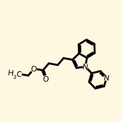 CCOC(=O)CCCc1cn(-c2cccnc2)c2ccccc12